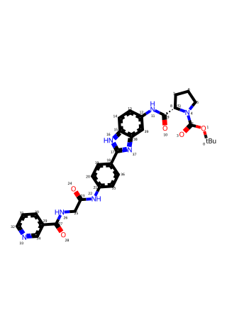 CC(C)(C)OC(=O)N1CCC[C@H]1C(=O)Nc1ccc2[nH]c(-c3ccc(NC(=O)CNC(=O)c4cccnc4)cc3)nc2c1